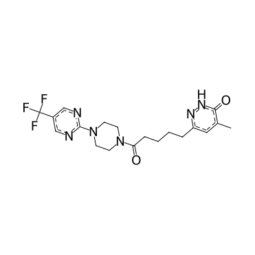 Cc1cc(CCCCC(=O)N2CCN(c3ncc(C(F)(F)F)cn3)CC2)n[nH]c1=O